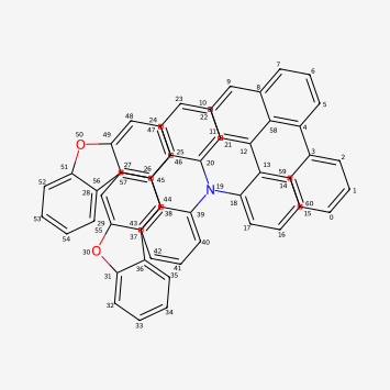 c1ccc(-c2cccc3cccc(-c4ccccc4N(c4ccccc4-c4ccc5oc6ccccc6c5c4)c4ccccc4-c4cccc5oc6ccccc6c45)c23)cc1